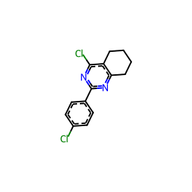 Clc1ccc(-c2nc(Cl)c3c(n2)CCCC3)cc1